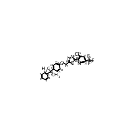 CC(C)(c1ccccc1)c1ccc(OCc2nnc(-c3ncc(C(F)(F)F)cc3Cl)o2)cc1